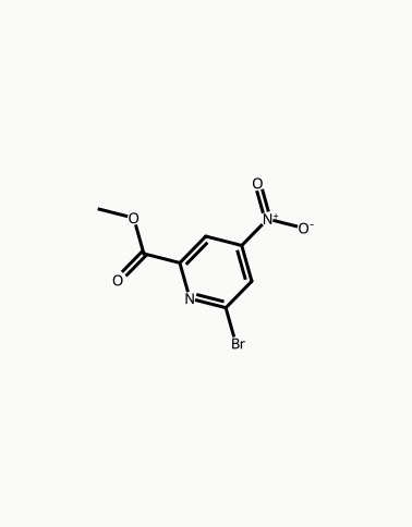 COC(=O)c1cc([N+](=O)[O-])cc(Br)n1